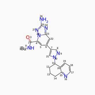 CCC(C)NC(=O)c1cc(-c2cnn(C3CCCc4ncccc43)c2)cc2nc(N)nn12